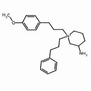 COc1ccc(CCC[N+]2(CCCc3ccccc3)CCCC(N)C2)cc1